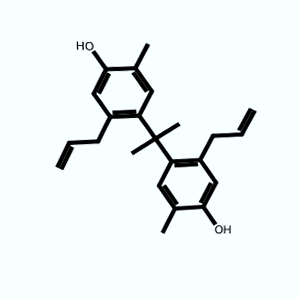 C=CCc1cc(O)c(C)cc1C(C)(C)c1cc(C)c(O)cc1CC=C